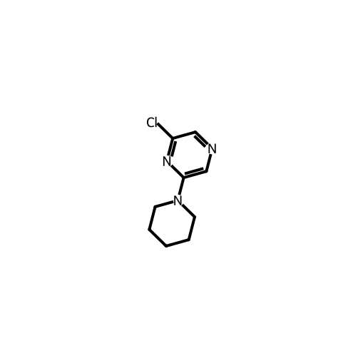 Clc1cncc(N2CCCCC2)n1